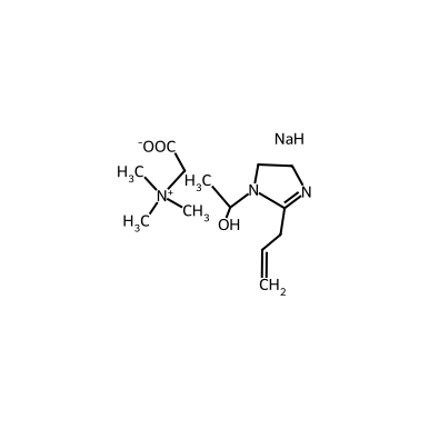 C=CCC1=NCCN1C(C)O.C[N+](C)(C)CC(=O)[O-].[NaH]